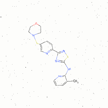 Cc1cccnc1Nc1nc(-c2ccc(SN3CCOCC3)cn2)ns1